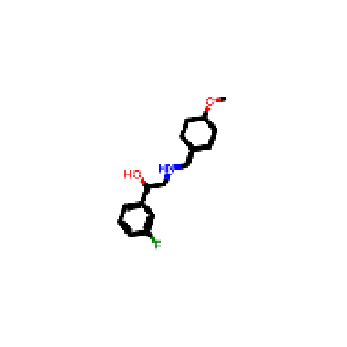 COC1CCC(CNCC(O)c2cccc(F)c2)CC1